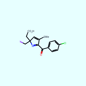 CSC1=CC(CI)(CC(=O)O)N=C1C(=O)c1ccc(Cl)cc1